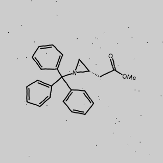 COC(=O)C[C@H]1CN1C(c1ccccc1)(c1ccccc1)c1ccccc1